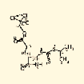 CC(C)SC(=S)S[C@H]1NC(=O)[C@@H]1CCC(=O)OCC(Cl)(Cl)Cl